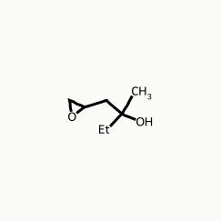 CCC(C)(O)CC1CO1